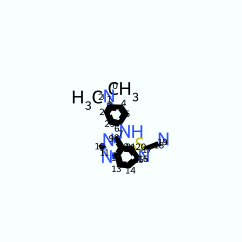 CN(C)c1ccc(Nc2ncnc3ccc4nc(C#N)sc4c23)cc1